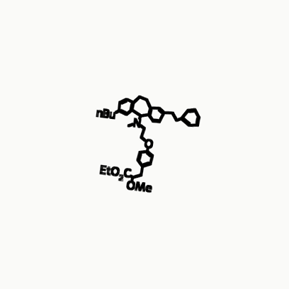 CCCCc1ccc2c(c1)C(N(C)CCOc1ccc(CC(OC)C(=O)OCC)cc1)c1ccc(CCc3ccccc3)cc1CC2